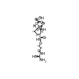 N=C(N)NOCCONC(=O)[C@@H]1CC[C@@H]2CC1NC(=O)N2OS(=O)(=O)O